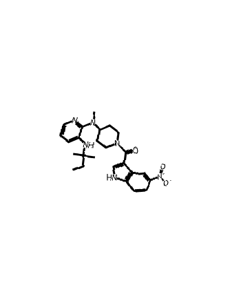 CCC(C)(C)Nc1cccnc1N(C)C1CCN(C(=O)c2c[nH]c3ccc([N+](=O)[O-])cc23)CC1